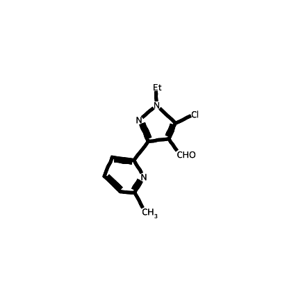 CCn1nc(-c2cccc(C)n2)c(C=O)c1Cl